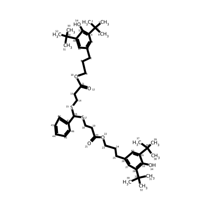 CC(C)(C)c1cc(CCCOC(=O)CCSC(SCCC(=O)OCCCc2cc(C(C)(C)C)c(O)c(C(C)(C)C)c2)c2ccccc2)cc(C(C)(C)C)c1O